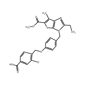 CCc1nc2c(C)c(C(=O)OC)sc2n1Cc1ccc(OCc2ccc(C(=O)O)cc2Cl)cc1